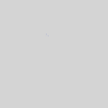 CC1(C)c2ccccc2N(I)c2ccc3ccccc3c21